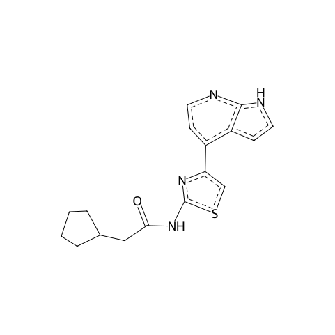 O=C(CC1CCCC1)Nc1nc(-c2ccnc3[nH]ccc23)cs1